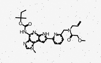 C=CCN(Cc1cccc(-c2cc3c(nc(NC(=O)OC(C)(C)CC)c4ncn(C)c43)[nH]2)n1)C(=O)COC